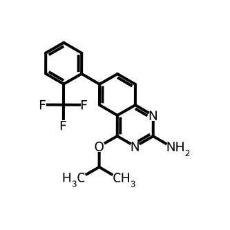 CC(C)Oc1nc(N)nc2ccc(-c3ccccc3C(F)(F)F)cc12